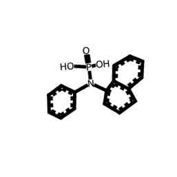 O=P(O)(O)N(c1ccccc1)c1cccc2ccccc12